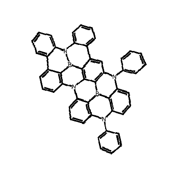 c1ccc(N2c3cccc4c3B3c5c2cccc5N2c5cccc6c5B5c7c(cc(c3c72)N4c2ccccc2)-c2ccccc2N5c2ccccc2-6)cc1